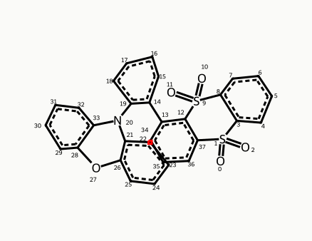 O=S1(=O)c2ccccc2S(=O)(=O)c2c(-c3ccccc3N3c4ccccc4Oc4ccccc43)cccc21